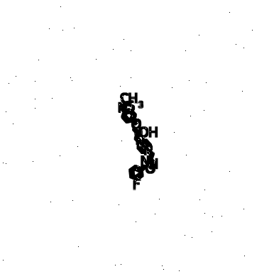 Cc1nc2ccc(OC[C@H](O)CN3CCN(Cc4noc(-c5cccc(F)c5)n4)CC3)cc2s1